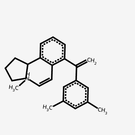 C=C(c1cc(C)cc(C)c1)c1cccc(C2CCCC2)c1/C=C\NC